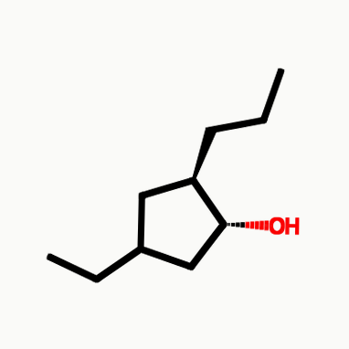 CCC[C@@H]1CC(CC)C[C@H]1O